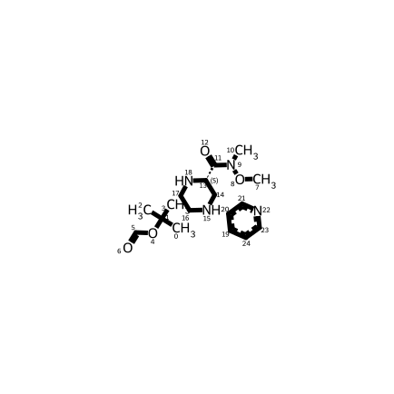 CC(C)(C)OC=O.CON(C)C(=O)[C@@H]1CNCCN1.c1ccncc1